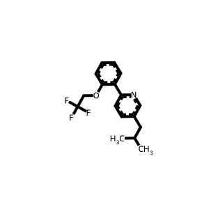 CC(C)Cc1ccc(-c2ccccc2OCC(F)(F)F)nc1